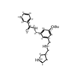 CC(C)COc1cc(CNCC2CCNC2)cc(CNC(=O)c2cccnc2)c1